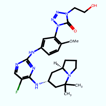 COc1ccc(Nc2ncc(F)c(N[C@@H]3C[C@H]4CCCN4C(C)(C)C3)n2)cc1-n1nnn(CCO)c1=O